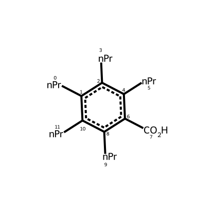 CCCc1c(CCC)c(CCC)c(C(=O)O)c(CCC)c1CCC